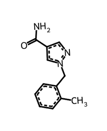 Cc1ccccc1Cn1cc(C(N)=O)cn1